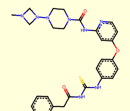 CN1CN(N2CCN(C(=O)Nc3cc(Oc4ccc(NC(=S)NC(=O)Cc5ccccc5)cc4)ccn3)CC2)C1